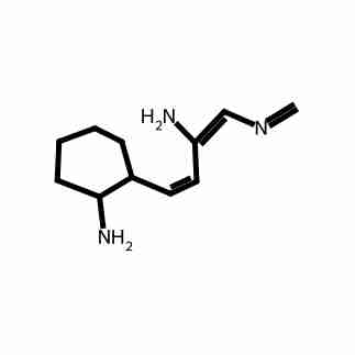 C=N/C=C(N)\C=C/C1CCCCC1N